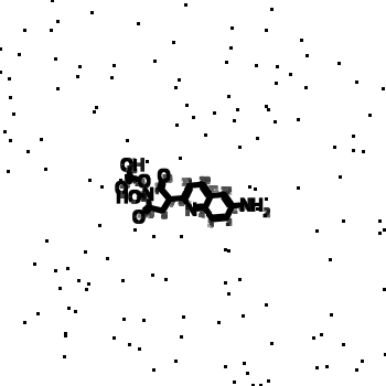 Nc1ccc2nc(C3CC(=O)[N+](O)(OC(=O)O)C3=O)ccc2c1